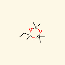 CC[Si]1(C)O[Si](C)(C)O[Si](C)(C)O1